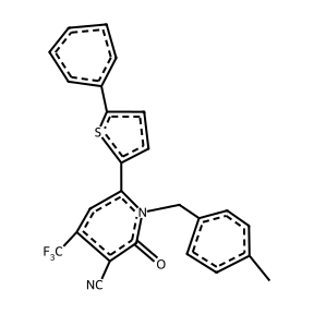 Cc1ccc(Cn2c(-c3ccc(-c4ccccc4)s3)cc(C(F)(F)F)c(C#N)c2=O)cc1